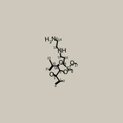 C=C(C)C(=O)C(O[Si](C)(CCCNCCN)OC)C(=O)C(=C)C